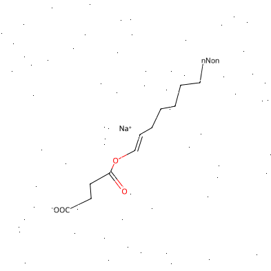 CCCCCCCCCCCCCCC=COC(=O)CCC(=O)[O-].[Na+]